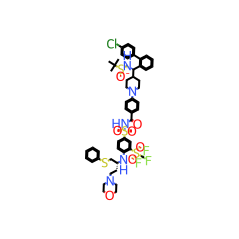 CC(C)(C)[S@+]([O-])N[C@@H](c1ccccc1-c1ccc(Cl)cc1)C1CCN(c2ccc(C(=O)NS(=O)(=O)c3ccc(N[C@H](CCN4CCOCC4)CSc4ccccc4)c(S(=O)(=O)C(F)(F)F)c3)cc2)CC1